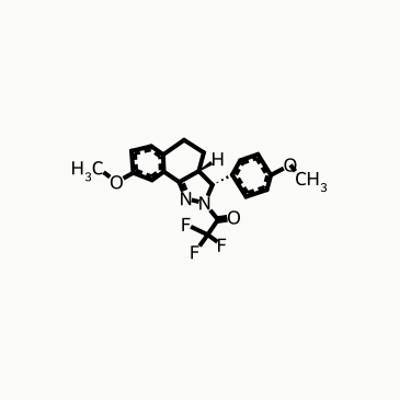 COc1ccc([C@H]2[C@H]3CCc4ccc(OC)cc4C3=NN2C(=O)C(F)(F)F)cc1